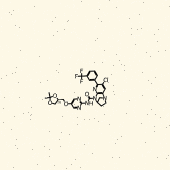 CC1(C)OC[C@H](COc2cnc(NC(=O)N3c4nc(-c5cccc(C(F)(F)F)c5)c(Cl)cc4N4CCC3C4)nc2)O1